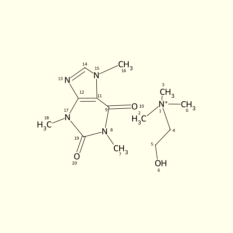 C[N+](C)(C)CCO.Cn1c(=O)c2c(ncn2C)n(C)c1=O